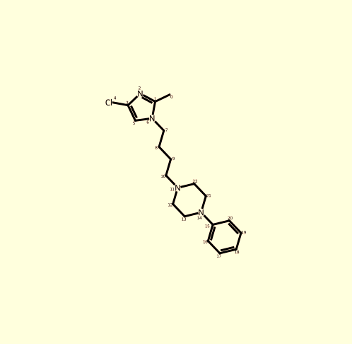 Cc1nc(Cl)cn1CCCCN1CCN(c2ccccc2)CC1